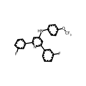 Fc1cccc(-c2cc(Nc3ccc(OC(F)(F)F)cc3)cc(-c3cccc(F)c3)n2)c1